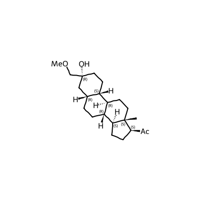 COC[C@@]1(O)CC[C@H]2[C@H](CC[C@@H]3[C@@H]2CC[C@]2(C)[C@@H](C(C)=O)CC[C@@H]32)C1